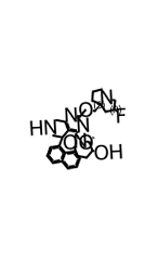 COCOC1(c2cccc3ccccc23)CNCc2nc(OC[C@@]34CCCN3C[C@H](F)C4)nc(N3CCCC(O)C3)c21